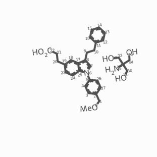 COCc1ccc(-n2cc(CCc3ccccc3)c3cc(CCC(=O)O)ccc32)cc1.NC(CO)(CO)CO